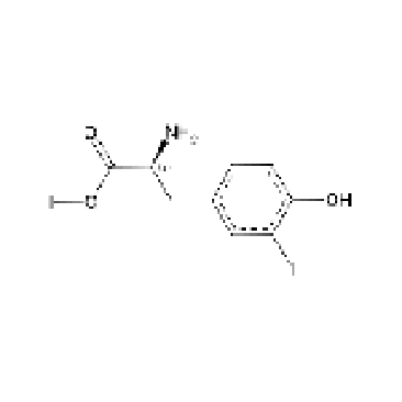 N[C@@H](Cc1ccc(O)c(I)c1)C(=O)OI